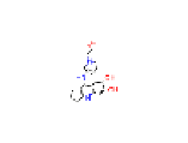 OCCN1CCC[C@H](Nc2c3c(nc4cc(O)c(O)cc24)CCC3)C1